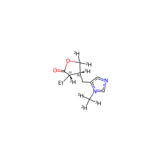 [2H]C([2H])([2H])n1cncc1C[C@@]1([2H])C([2H])([2H])OC(=O)[C@@]1([2H])CC